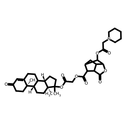 CC1(OC(=O)COC(=O)C2C3CC4C(OC(=O)C42)C3OC(=O)CN2CCCCC2)CC[C@H]2C3CCC4=CC(=O)CC[C@]4(C)[C@H]3CC[C@@]21C